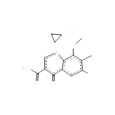 COc1c(C)c(F)cc2c(=O)c(C(=O)O)cn([C@@H]3C[C@@H]3F)c12